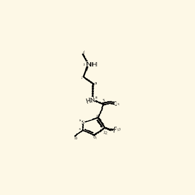 CNCCNC(=O)c1sc(C)cc1F